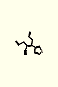 C#CC(CC=C)=C(CC=C)c1ccsc1